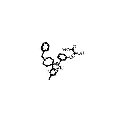 CC(=O)N(c1cccc(Cl)c1)C1(c2nc(C)cs2)CCN(Cc2ccccc2)CC1.O=C(O)C(=O)O